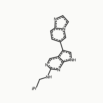 CC(C)CNc1ncc2c(-c3ccc4nccn4c3)c[nH]c2n1